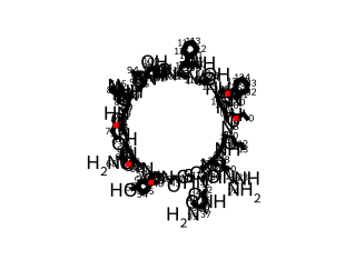 CCCC[C@H]1C(=O)N(C)[C@@H](CCCC)C(=O)N[C@@H](CCCNC(=N)N)C(=O)N[C@H](C(=O)NCC(=O)N[C@@H](C)C(N)=O)CSCC(=O)N[C@@H](Cc2ccc(O)cc2)C(=O)N(C)[C@@H](C)C(=O)N[C@@H](CC(N)=O)C(=O)N2CCC[C@H]2C(=O)N[C@@H](Cc2cnc[nH]2)C(=O)N[C@@H](CC(C)C)C(=O)N2C[C@H](O)C[C@H]2C(=O)N[C@@H](Cc2c[nH]c3ccccc23)C(=O)N[C@@H](CO)C(=O)N[C@@H](Cc2c[nH]c3ccccc23)C(=O)N1C